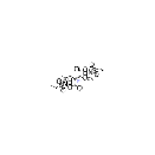 CCS(=O)(=O)N[C@@H](C)C/C(C(=O)O)=C(/C[C@H](C)NS(=O)(=O)CC)C(=O)O